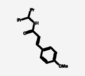 COc1ccc(C=CC(=O)NC(C(C)C)C(C)C)cc1